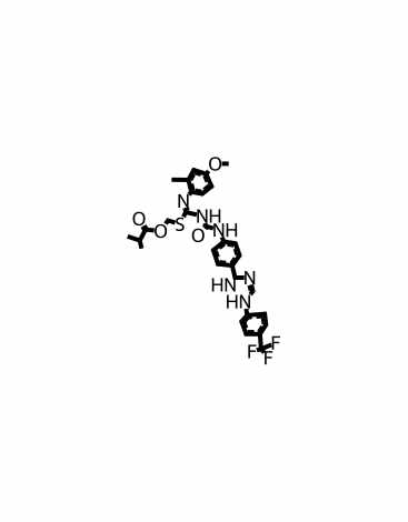 COc1ccc(/N=C(\NC(=O)Nc2ccc(C(=N)/N=C\Nc3ccc(C(F)(F)F)cc3)cc2)SCOC(=O)C(C)C)c(C)c1